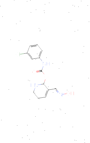 O=C(Nc1cccc(Cl)c1)OC1NCCC=C1C=NO